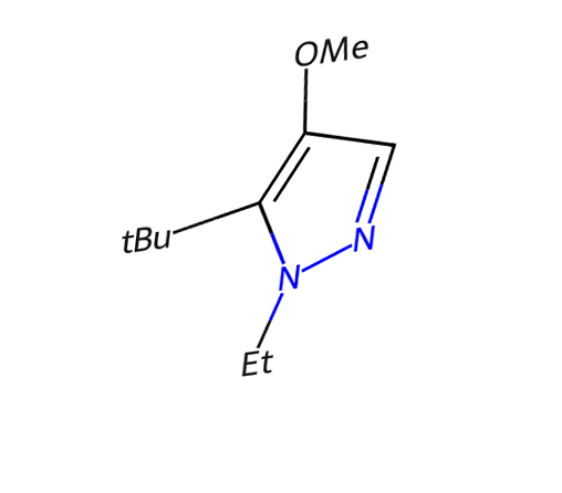 CCn1ncc(OC)c1C(C)(C)C